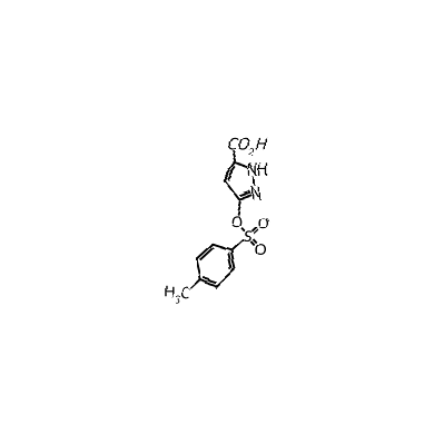 Cc1ccc(S(=O)(=O)Oc2cc(C(=O)O)[nH]n2)cc1